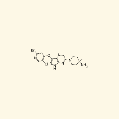 CC1(N)CCN(c2cnc3c(Oc4cc(Br)ncc4Cl)n[nH]c3n2)CC1